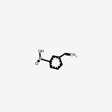 C=Cc1cccc([N+](=O)O)c1